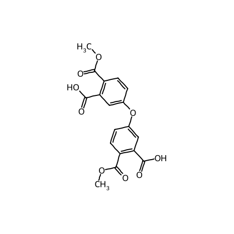 COC(=O)c1ccc(Oc2ccc(C(=O)OC)c(C(=O)O)c2)cc1C(=O)O